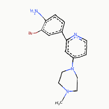 CN1CCN(c2ccnc(-c3ccc(N)c(Br)c3)c2)CC1